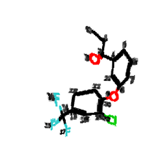 CCC(=O)c1cccc(Oc2ccc(C(F)(F)F)cc2Cl)c1